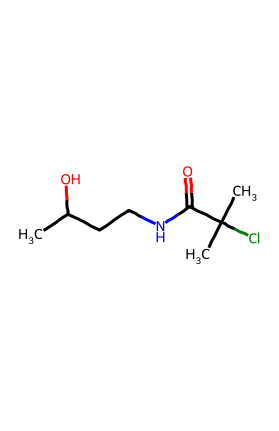 CC(O)CCNC(=O)C(C)(C)Cl